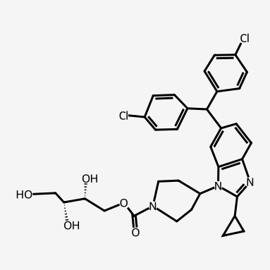 O=C(OC[C@@H](O)[C@H](O)CO)N1CCC(n2c(C3CC3)nc3ccc(C(c4ccc(Cl)cc4)c4ccc(Cl)cc4)cc32)CC1